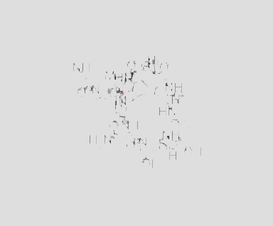 C=C1C[C@@H]2NC(=O)[C@H]([C@@H](C)[C@@H](O)CO)NC(=O)C3C[C@@H](O)CN3C(=O)[C@H](CC(N)=O)NC(=O)[C@H](Cc3c1ccc(OC)c3CS[C@@H]1CCN(C(=O)CCN)C1)NC(=O)CNC(=O)C([C@@H](C)CC)NC(=O)CNC2=O